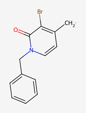 [CH2]c1ccn(Cc2ccccc2)c(=O)c1Br